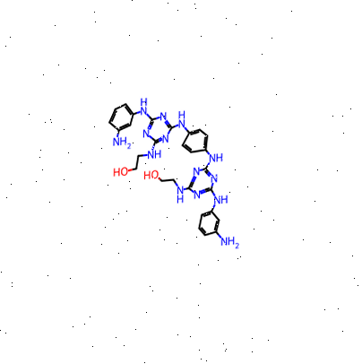 Nc1cccc(Nc2nc(NCCO)nc(Nc3ccc(Nc4nc(NCCO)nc(Nc5cccc(N)c5)n4)cc3)n2)c1